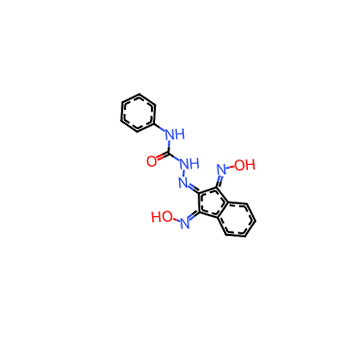 O=C(NN=c1c(=NO)c2ccccc2c1=NO)Nc1ccccc1